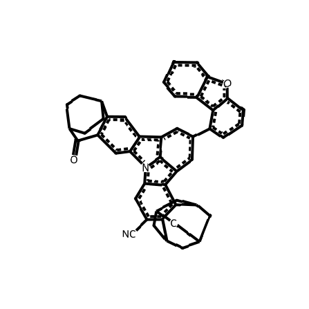 N#Cc1cc2c(c3c1C1CC4CC(C1)CC3C4)c1cc(-c3cccc4oc5ccccc5c34)cc3c4cc5c(cc4n2c31)C(=O)C1CCC5CC1